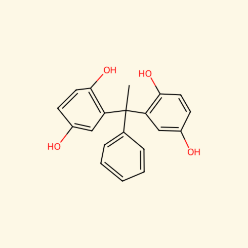 CC(c1ccccc1)(c1cc(O)ccc1O)c1cc(O)ccc1O